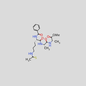 COC(=O)[C@H](C)NC(=O)[C@H](C)NC(=O)[C@H](CCCCNC(C)=S)NC(=O)c1ccccc1